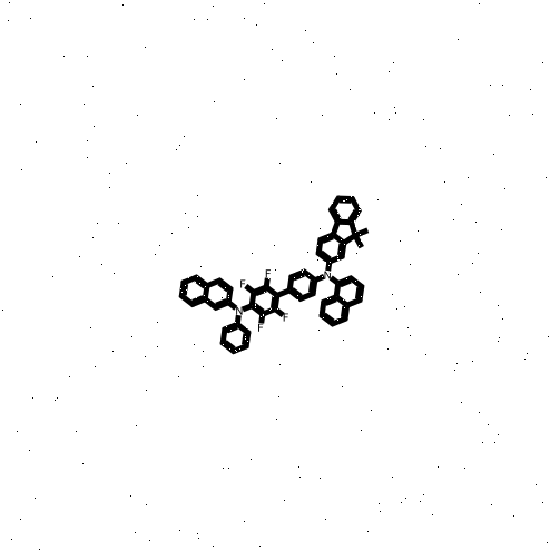 CC1(C)c2ccccc2-c2ccc(N(c3ccc(-c4c(F)c(F)c(N(c5ccccc5)c5ccc6ccccc6c5)c(F)c4F)cc3)c3cccc4ccccc34)cc21